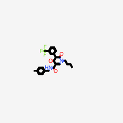 CCCCN1C=C(C(=O)NCc2ccc(C)cc2)C(=O)C(c2cccc(C(F)(F)F)c2)C1=O